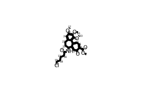 COC(=O)c1ccc2c(cc1=O)[C@@H](NC(=O)CCCCCl)CCc1cc(OC)c(OC)c(OC)c1-2